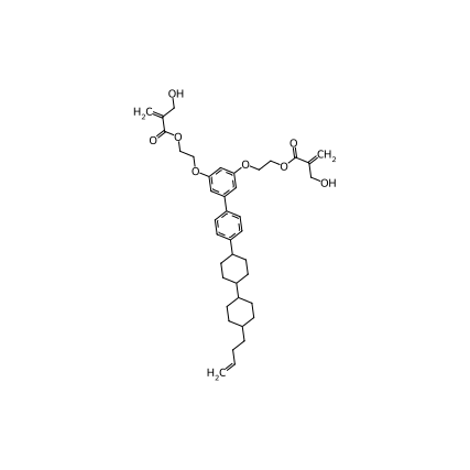 C=CCCC1CCC(C2CCC(c3ccc(-c4cc(OCCOC(=O)C(=C)CO)cc(OCCOC(=O)C(=C)CO)c4)cc3)CC2)CC1